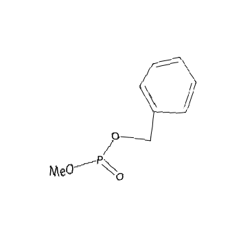 CO[P](=O)OCc1ccccc1